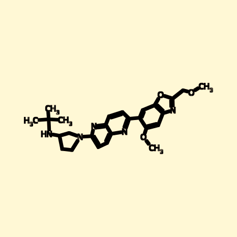 COCc1nc2cc(OC)c(-c3ccc4nc(N5CCC(NC(C)(C)C)C5)ccc4n3)cc2o1